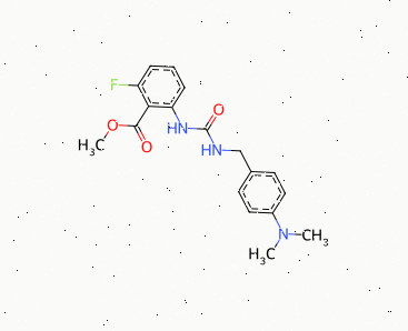 COC(=O)c1c(F)cccc1NC(=O)NCc1ccc(N(C)C)cc1